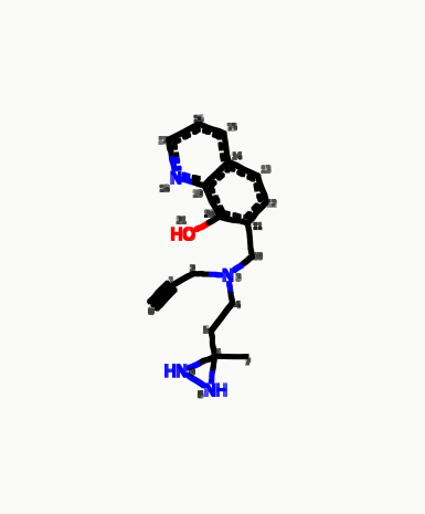 C#CCN(CCC1(C)NN1)Cc1ccc2cccnc2c1O